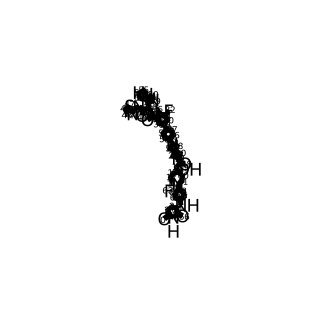 O=C1CC[C@@H](Nc2ccc(N3CCC[C@](O)(CC(=O)N4CC5(C4)CN(c4ccc(-c6cc(F)c7c(c6)C(=O)N(C(C(=O)Nc6nccs6)c6ncn8c6CCC8)C7)cc4)C5)CC3)c(F)c2)C(=O)N1